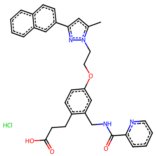 Cc1cc(-c2ccc3ccccc3c2)nn1CCOc1ccc(CCC(=O)O)c(CNC(=O)c2ccccn2)c1.Cl